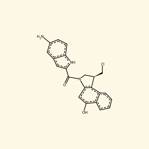 Nc1ccc2[nH]c(C(=O)N3C[C@@H](CCl)c4c3cc(O)c3ccccc43)cc2c1